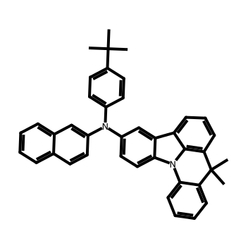 CC(C)(C)c1ccc(N(c2ccc3ccccc3c2)c2ccc3c(c2)c2cccc4c2n3-c2ccccc2C4(C)C)cc1